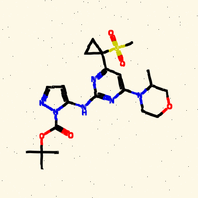 CC1COCCN1c1cc(C2(S(C)(=O)=O)CC2)nc(Nc2ccnn2C(=O)OC(C)(C)C)n1